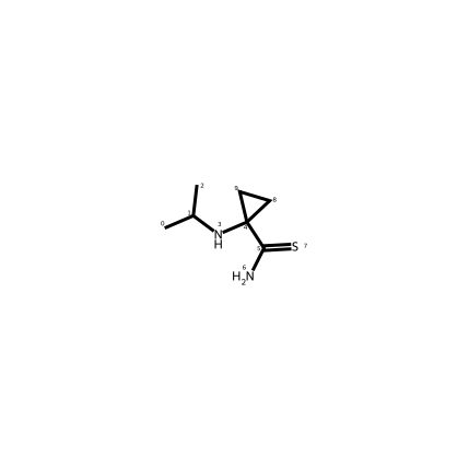 CC(C)NC1(C(N)=S)CC1